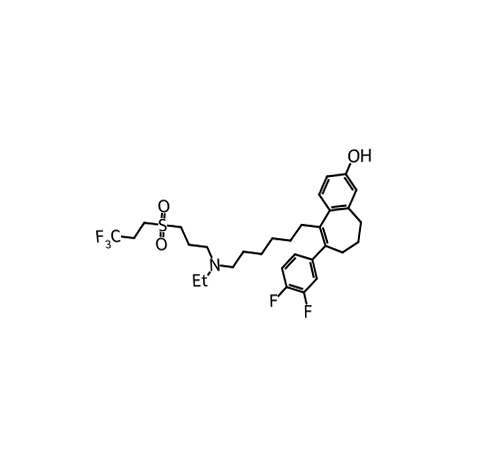 CCN(CCCCCCC1=C(c2ccc(F)c(F)c2)CCCc2cc(O)ccc21)CCCS(=O)(=O)CCC(F)(F)F